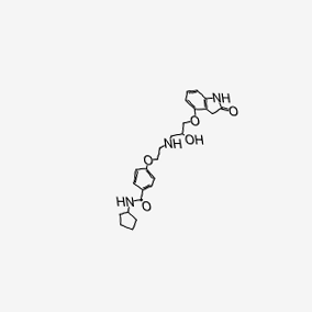 O=C1Cc2c(cccc2OCC(O)CNCCOc2ccc(C(=O)NC3CCCC3)cc2)N1